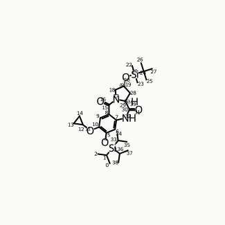 CC(C)[Si](Oc1cc2c(cc1OC1CC1)C(=O)N1C[C@H](O[Si](C)(C)C(C)(C)C)C[C@H]1C(=O)N2)(C(C)C)C(C)C